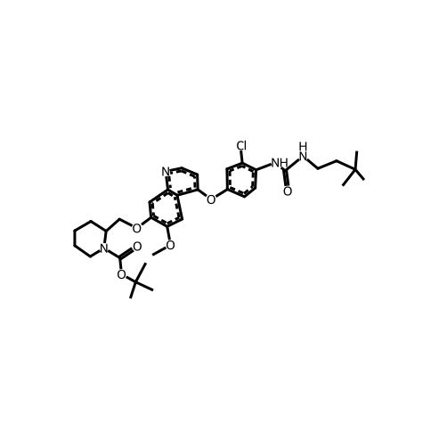 COc1cc2c(Oc3ccc(NC(=O)NCCC(C)(C)C)c(Cl)c3)ccnc2cc1OCC1CCCCN1C(=O)OC(C)(C)C